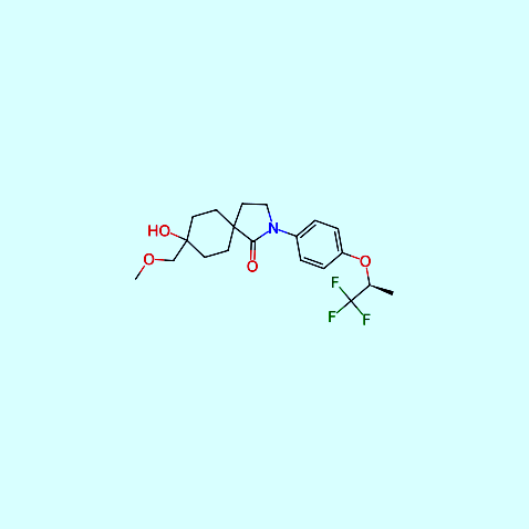 COCC1(O)CCC2(CCN(c3ccc(O[C@@H](C)C(F)(F)F)cc3)C2=O)CC1